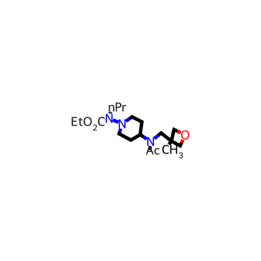 CCCN(C(=O)OCC)N1CCC(N(CC2(C)COC2)C(C)=O)CC1